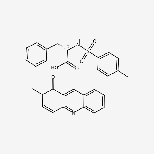 CC1C=Cc2nc3ccccc3cc2C1=O.Cc1ccc(S(=O)(=O)N[C@@H](Cc2ccccc2)C(=O)O)cc1